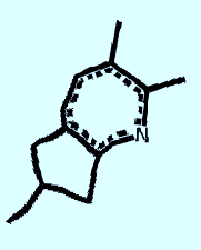 Cc1cc2c(nc1C)CC(C)C2